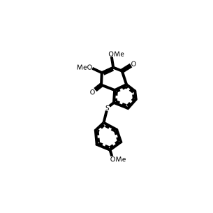 COC1=C(OC)C(=O)c2c(Sc3ccc(OC)cc3)cccc2C1=O